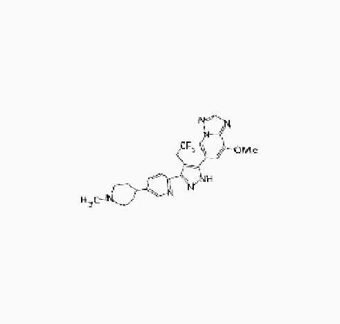 COc1cc(-c2[nH]nc(-c3ccc(C4CCN(C)CC4)cn3)c2CC(F)(F)F)cn2ncnc12